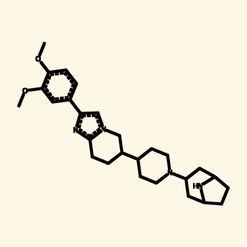 COc1ccc(-c2cn3c(n2)CCC(C2CCN(C4CC5CCC(C4)N5)CC2)C3)cc1OC